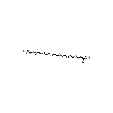 NCCOCCOCCOCCOCCOCCOCCC(=O)O